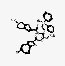 CCOC(=O)C[C@@H](NC(=O)c1cc2cc(Cl)ccc2[nH]1)[C@@H](CO[Si](c1ccccc1)(c1ccccc1)C(C)(C)C)NC(=O)c1cc2c(s1)CN(C)CC2